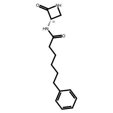 O=C(CCCCCc1ccccc1)N[C@H]1CNC1=O